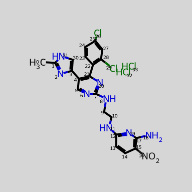 Cc1nc(-c2cnc(NCCNc3ccc([N+](=O)[O-])c(N)n3)nc2-c2ccc(Cl)cc2Cl)c[nH]1.Cl.Cl